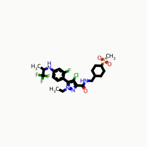 CCn1nc(C(=O)NCC2CCC(S(C)(=O)=O)CC2)c(Cl)c1-c1ccc(NC(C)C(F)(F)F)cc1F